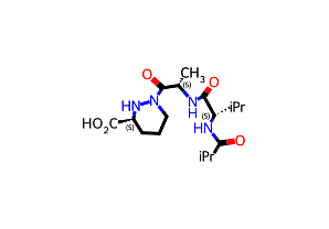 CC(C)C(=O)N[C@H](C(=O)N[C@@H](C)C(=O)N1CCC[C@@H](C(=O)O)N1)C(C)C